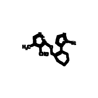 CCn1nccc1C1=C(COc2cncc(C)c2C=O)CCCC1